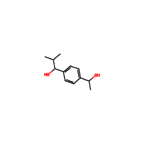 CC(O)c1ccc(C(O)C(C)C)cc1